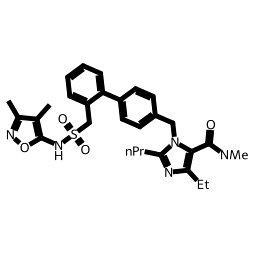 CCCc1nc(CC)c(C(=O)NC)n1Cc1ccc(-c2ccccc2CS(=O)(=O)Nc2onc(C)c2C)cc1